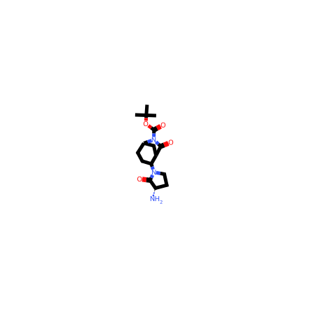 CC(C)(C)OC(=O)N1C(=O)C2CC1CCC2N1CC[C@H](N)C1=O